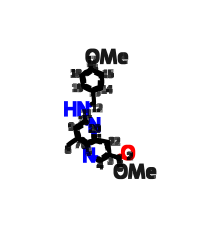 COC(=O)c1cnc2c(C)cc(NCc3ccc(OC)cc3)nc2c1